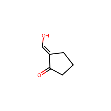 O=C1CCCC1=CO